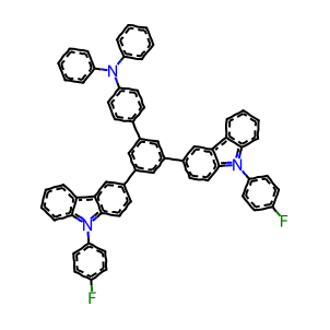 Fc1ccc(-n2c3ccccc3c3cc(-c4cc(-c5ccc(N(c6ccccc6)c6ccccc6)cc5)cc(-c5ccc6c(c5)c5ccccc5n6-c5ccc(F)cc5)c4)ccc32)cc1